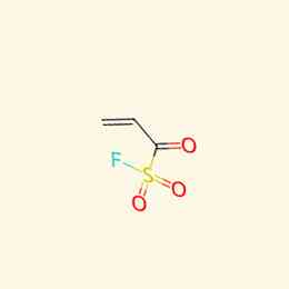 C=CC(=O)S(=O)(=O)F